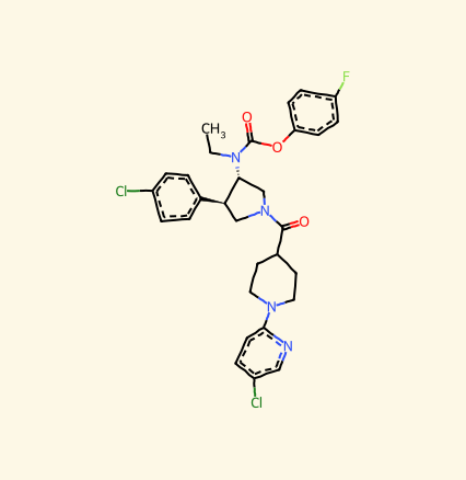 CCN(C(=O)Oc1ccc(F)cc1)[C@@H]1CN(C(=O)C2CCN(c3ccc(Cl)cn3)CC2)C[C@H]1c1ccc(Cl)cc1